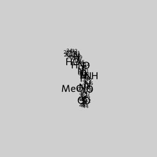 CON=C(C(=O)N1CCC(Nc2cc(C(=O)NCC(O)CN3CCc4ccccc4C3)ncn2)C(F)C1)c1ccc(S(=O)(=O)C2CC2)cc1